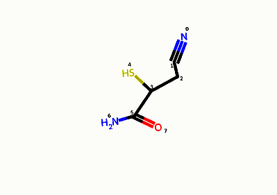 N#CCC(S)C(N)=O